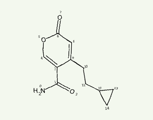 NC(=O)c1coc(=O)cc1CCC1CC1